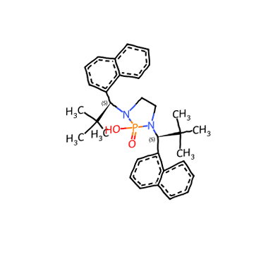 CC(C)(C)[C@@H](c1cccc2ccccc12)N1CCN([C@H](c2cccc3ccccc23)C(C)(C)C)P1(=O)O